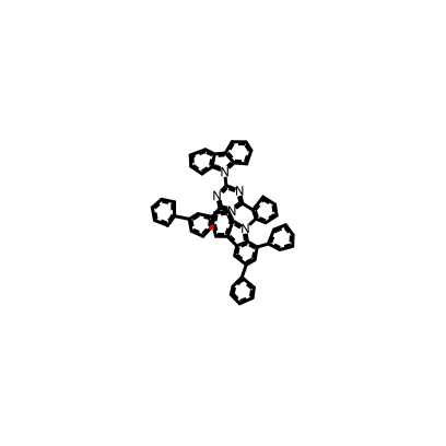 c1ccc(-c2cccc(-c3nc(-c4ccccc4-n4c5ccccc5c5cc(-c6ccccc6)cc(-c6ccccc6)c54)nc(-n4c5ccccc5c5ccccc54)n3)c2)cc1